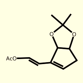 CC(=O)OC=CC1=CCC2OC(C)(C)OC12